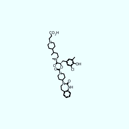 Cc1cc(C[C@@H](OC(=O)N2CCC(N3CCc4ccccc4NC3=O)CC2)C(=O)N(C)CCC(C)C2CCN(CCC(=O)O)CC2)cc(Cl)c1O